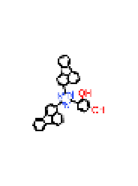 Oc1ccc(-c2nc(-c3ccc4c5c(cccc35)-c3ccccc3-4)nc(-c3ccc4c5c(cccc35)-c3ccccc3-4)n2)c(O)c1